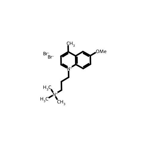 COc1ccc2c(c1)c(C)cc[n+]2CCC[N+](C)(C)C.[Br-].[Br-]